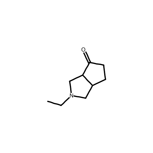 CCN1CC2CCC(=O)C2C1